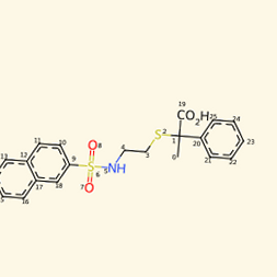 CC(SCCNS(=O)(=O)c1ccc2ccccc2c1)(C(=O)O)c1ccccc1